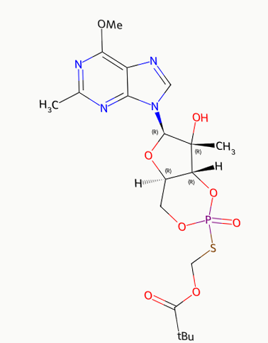 COc1nc(C)nc2c1ncn2[C@@H]1O[C@@H]2COP(=O)(SCOC(=O)C(C)(C)C)O[C@H]2[C@@]1(C)O